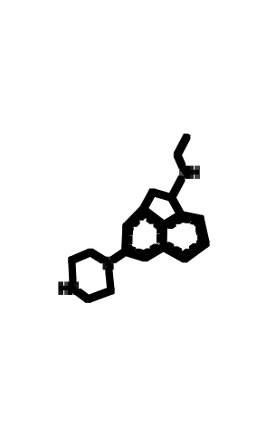 CCNC1Cc2cc(N3CCNCC3)cc3cccc1c23